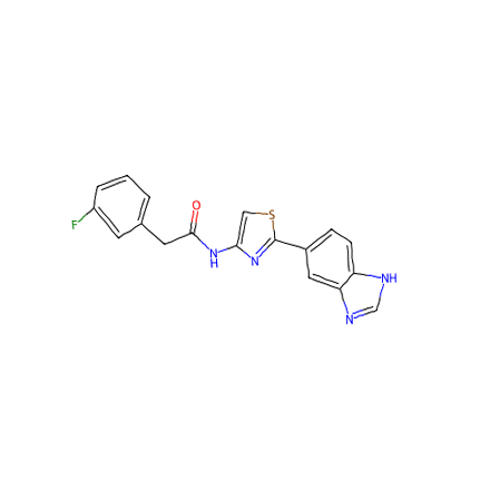 O=C(Cc1cccc(F)c1)Nc1csc(-c2ccc3[nH]cnc3c2)n1